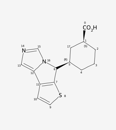 O=C(O)[C@H]1CCC[C@@H](C2c3sccc3-c3cncn32)C1